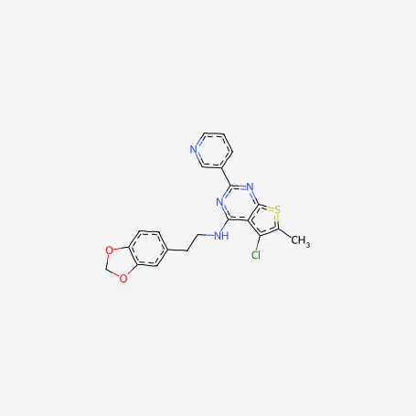 Cc1sc2nc(-c3cccnc3)nc(NCCc3ccc4c(c3)OCO4)c2c1Cl